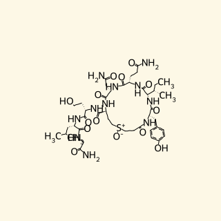 CC[C@H](C)[C@@H]1NC(=O)[C@H](Cc2ccc(O)cc2)NC(=O)CC[S+]([O-])CC[C@@H](C(=O)N[C@@H](CCO)C(=O)N[C@@H](CC(C)C)C(=O)NCC(N)=O)NC(=O)[C@H](CC(N)=O)NC(=O)[C@H](CCC(N)=O)NC1=O